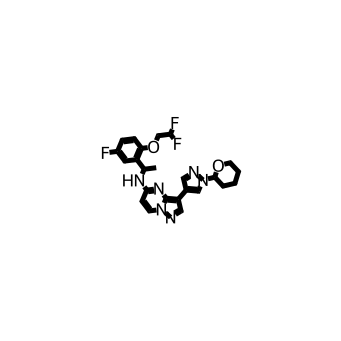 CC(Nc1ccn2ncc(-c3cnn(C4CCCCO4)c3)c2n1)c1cc(F)ccc1OCC(F)F